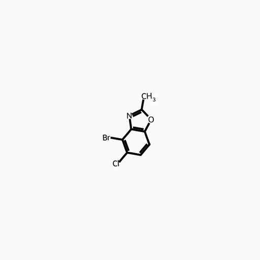 Cc1nc2c(Br)c(Cl)ccc2o1